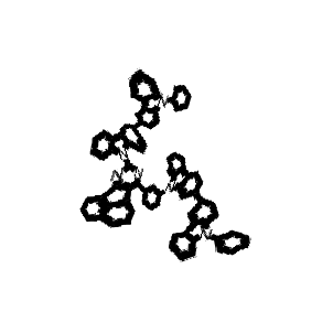 c1ccc(-n2c3ccccc3c3cc(-c4ccc5c(c4)c4ccccc4n5-c4nc(-c5cccc(-n6c7ccccc7c7ccc(-c8ccc9c(c8)c8ccccc8n9-c8ccccc8)cc76)c5)c5c(n4)-c4cccc6cccc-5c46)ccc32)cc1